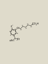 CCCC(CC)c1ccc(F)c(OCCCCCC(=O)O)c1